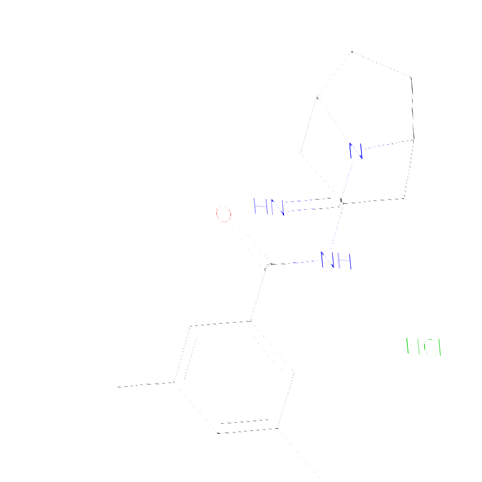 Cc1cc(C)cc(C(=O)NC2CC3CCC(C2)N3C=N)c1.Cl